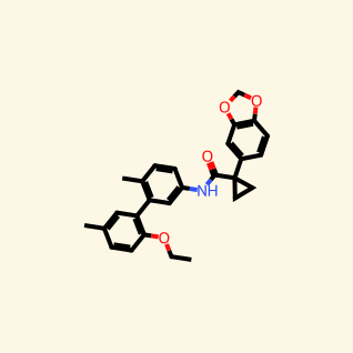 CCOc1ccc(C)cc1-c1cc(NC(=O)C2(c3ccc4c(c3)OCO4)CC2)ccc1C